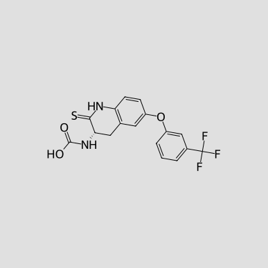 O=C(O)N[C@H]1Cc2cc(Oc3cccc(C(F)(F)F)c3)ccc2NC1=S